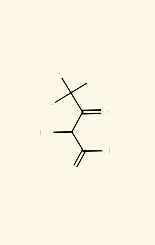 O=C(Cl)C(O)C(=O)C(F)(F)F